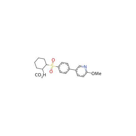 COc1ccc(-c2ccc(S(=O)(=O)C3CCCCC3C(=O)O)cc2)cn1